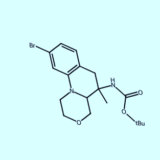 CC(C)(C)OC(=O)NC1(C)Cc2ccc(Br)cc2N2CCOCC21